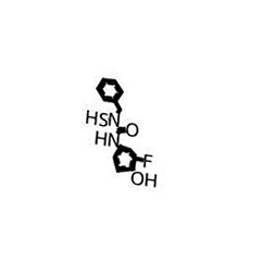 O=C(Nc1ccc(O)c(F)c1)N(S)Cc1ccccc1